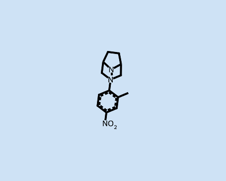 Cc1cc([N+](=O)[O-])ccc1N1CC2CCC(C1)N2C